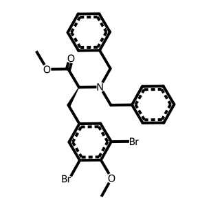 COC(=O)[C@H](Cc1cc(Br)c(OC)c(Br)c1)N(Cc1ccccc1)Cc1ccccc1